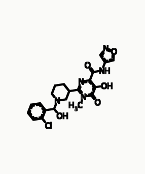 Cn1c(C2CCCN(C(O)c3ccccc3Cl)C2)nc(C(=O)Nc2cnoc2)c(O)c1=O